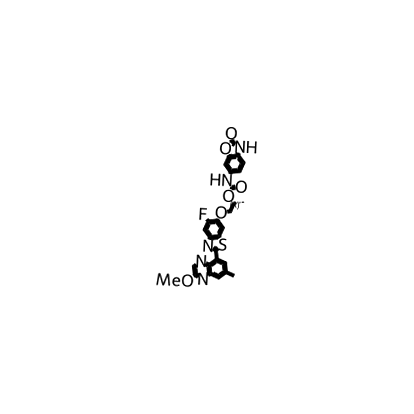 COc1cnc2c(-c3nc4cc(F)c(OC[C@@H](C)OC(=O)Nc5ccc6[nH]c(=O)oc6c5)cc4s3)cc(C)cc2n1